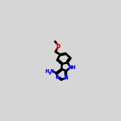 COCc1ccc2[nH]c3ncnc(N)c3c2c1